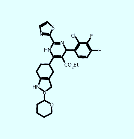 CCOC(=O)C1=C(C2CCC3=C(C2)CN(C2CCCCO2)N3)NC(c2nccs2)=NC1c1ccc(F)c(F)c1Cl